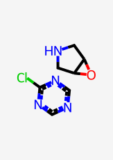 C1NCC2OC12.Clc1ncncn1